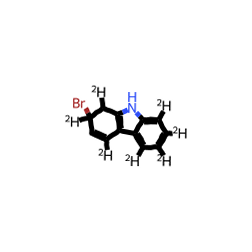 [2H]C1=CC([2H])(Br)C([2H])c2[nH]c3c([2H])c([2H])c([2H])c([2H])c3c21